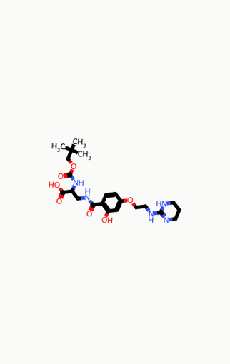 CC(C)(C)COC(=O)NC(CNC(=O)c1ccc(OCCNC2=NCCCN2)cc1O)C(=O)O